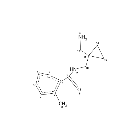 Cc1ccccc1C(=O)NCC1(CN)CC1